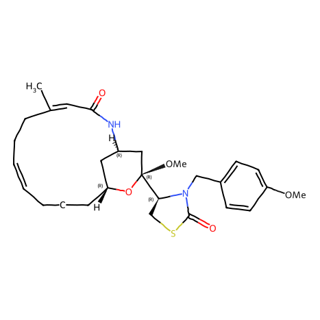 COc1ccc(CN2C(=O)SC[C@H]2[C@@]2(OC)C[C@H]3C[C@@H](CCCC=CCCC(C)=CC(=O)N3)O2)cc1